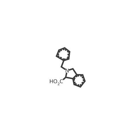 O=C(O)C1c2ccccc2CN1Cc1ccccc1